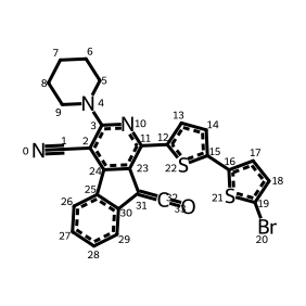 N#Cc1c(N2CCCCC2)nc(-c2ccc(-c3ccc(Br)s3)s2)c2c1-c1ccccc1C2=C=O